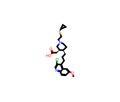 COc1ccc2ncc(Cl)c(CCC[C@@H]3CCN(CCSC4CC4)C[C@@H]3CC(=O)O)c2c1